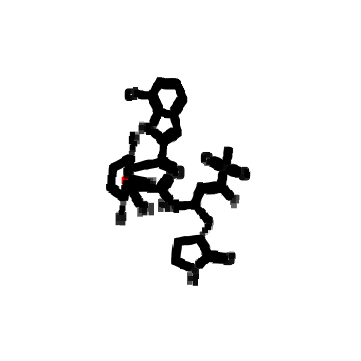 CS(=O)(=O)/C(F)=C/[C@@H](C[C@H]1CCNC1=O)NC(=O)[C@H]1[C@H]2CC[C@H](CC2(F)F)N1C(=O)c1cc2cccc(Cl)c2[nH]1